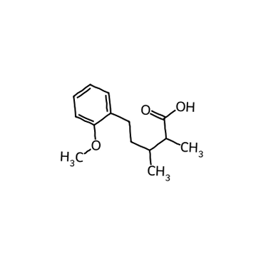 COc1ccccc1CCC(C)C(C)C(=O)O